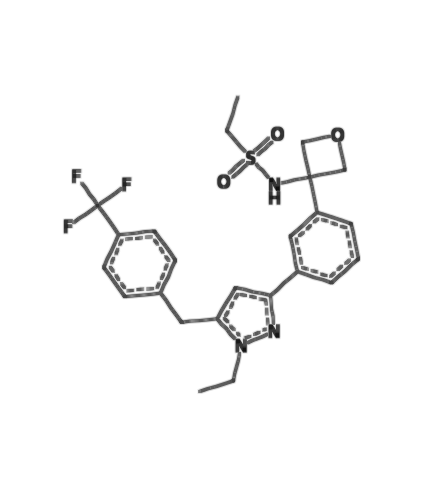 CCn1nc(-c2cccc(C3(NS(=O)(=O)CC)COC3)c2)cc1Cc1ccc(C(F)(F)F)cc1